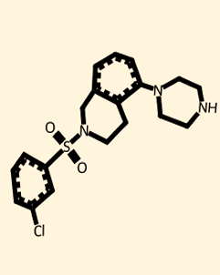 O=S(=O)(c1cccc(Cl)c1)N1CCc2c(cccc2N2CCNCC2)C1